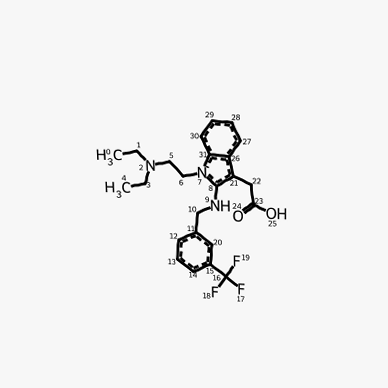 CCN(CC)CCn1c(NCc2cccc(C(F)(F)F)c2)c(CC(=O)O)c2ccccc21